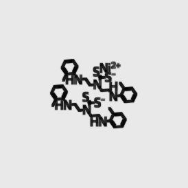 Cc1ccccc1NCCN(CCNc1ccccc1C)C(=S)[S-].Cc1ccccc1NCCN(CCNc1ccccc1C)C(=S)[S-].[Ni+2]